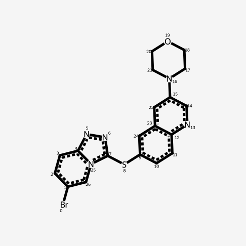 Brc1ccc2nnc(Sc3ccc4ncc(N5CCOCC5)cc4c3)n2c1